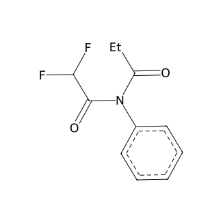 CCC(=O)N(C(=O)C(F)F)c1ccccc1